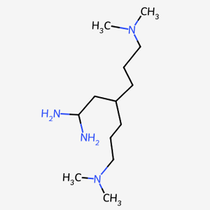 CN(C)CCCC(CCCN(C)C)CC(N)N